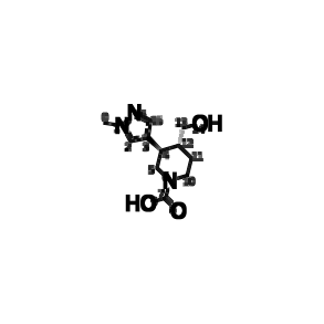 Cn1cc([C@@H]2CN(C(=O)O)CC[C@H]2CO)cn1